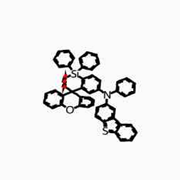 c1ccc(N(c2ccc3c(c2)C2(c4ccccc4Oc4ccccc42)c2ccccc2[Si]3(c2ccccc2)c2ccccc2)c2ccc3sc4ccccc4c3c2)cc1